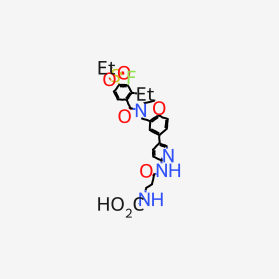 CCc1c(C(=O)N2CCOc3ccc(-c4ccc(NC(=O)CCNC(=O)O)nc4)cc3C2)ccc(S(=O)(=O)CC)c1F